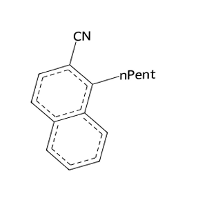 CCCCCc1c(C#N)ccc2ccccc12